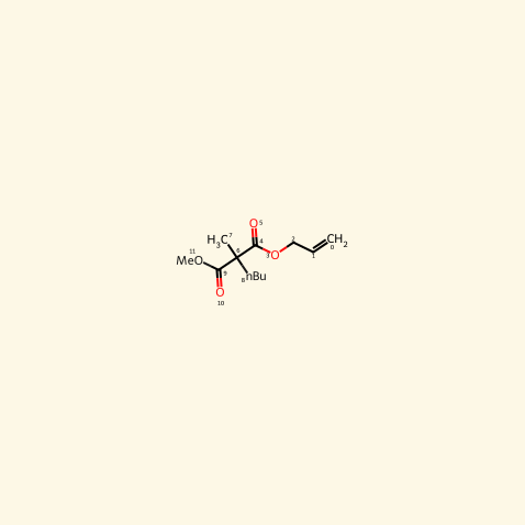 C=CCOC(=O)C(C)(CCCC)C(=O)OC